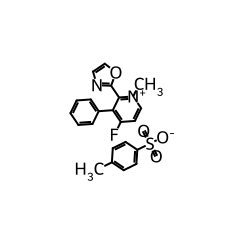 C[n+]1ccc(F)c(-c2ccccc2)c1-c1ncco1.Cc1ccc(S(=O)(=O)[O-])cc1